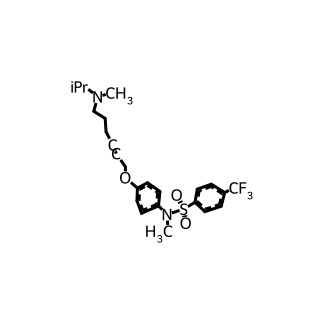 CC(C)N(C)CCCCCCOc1ccc(N(C)S(=O)(=O)c2ccc(C(F)(F)F)cc2)cc1